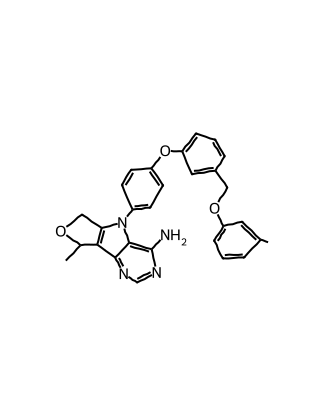 Cc1cccc(OCc2cccc(Oc3ccc(-n4c5c(c6ncnc(N)c64)C(C)OC5)cc3)c2)c1